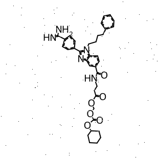 N=C(N)c1ccc(-c2nc3cc(C(=O)NCCC(=O)OCOC(=O)OC4CCCCC4)ccc3n2CCCCc2ccccc2)cc1